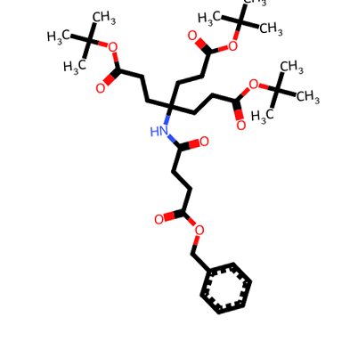 CC(C)(C)OC(=O)CCC(CCC(=O)OC(C)(C)C)(CCC(=O)OC(C)(C)C)NC(=O)CCC(=O)OCc1ccccc1